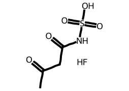 CC(=O)CC(=O)NS(=O)(=O)O.F